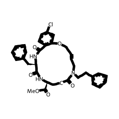 COC(=O)[C@@H]1CCC(=O)N(CCc2ccccc2)C/C=C/COc2cc(Cl)ccc2C(=O)N[C@H](Cc2ccccc2)C(=O)N1